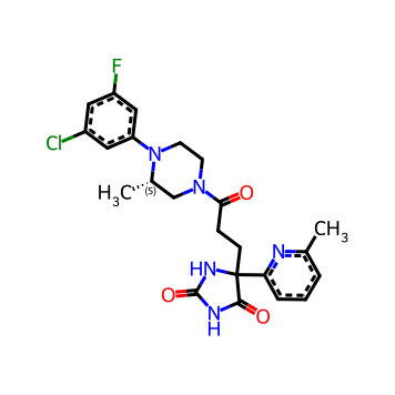 Cc1cccc(C2(CCC(=O)N3CCN(c4cc(F)cc(Cl)c4)[C@@H](C)C3)NC(=O)NC2=O)n1